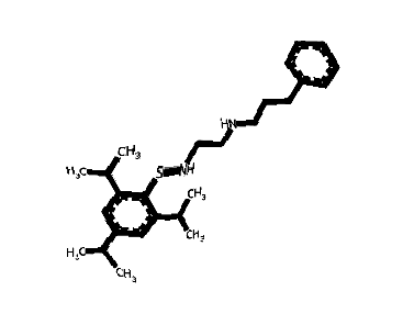 CC(C)c1cc(C(C)C)c(SNCCNCCCc2ccccc2)c(C(C)C)c1